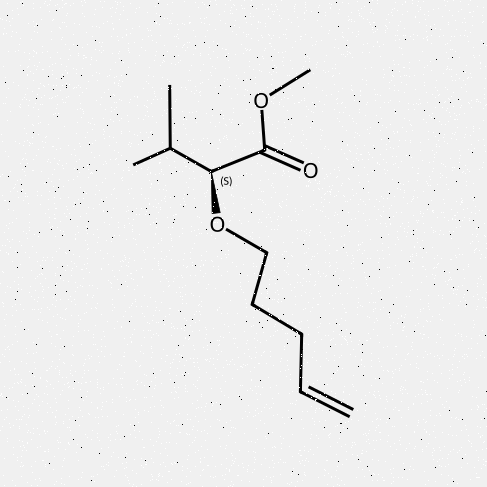 C=CCCCO[C@H](C(=O)OC)C(C)C